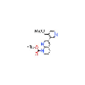 COCc1ccncc1-c1cnc2c(c1)CCCN2C(=O)OC(C)(C)C